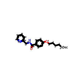 CCCCCCCCCCCCCCOc1ccc(C(=O)NCc2ccccn2)cc1